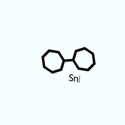 C1CCCC(C2CCCCCC2)CC1.[Sn]